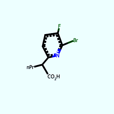 CCCC(C(=O)O)c1ccc(F)c(Br)n1